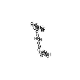 CS(=O)(=O)N1CCC(C(=O)N[C@@H](COCc2ccc(CNC(=O)CCOCCOCCOc3ccc4c(c3)C(=O)N(C3CCC(=O)NC3=O)C4=O)cc2)C(=O)NC2NC(c3ccccc3)CS2)C1